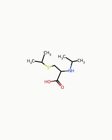 CC(C)NC(CSC(C)C)C(=O)O